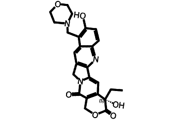 CC[C@@]1(O)C(=O)OCc2c1cc1n(c2=O)Cc2cc3c(CN4CCOCC4)c(O)ccc3nc2-1